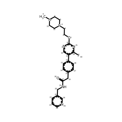 CN1CCN(CCOc2ncc(-c3ccc(CC(=O)NCc4cccnc4)cc3)c(F)n2)CC1